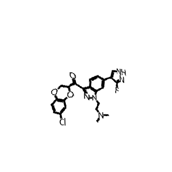 CN(C)CCn1nc(C(=O)C2COc3ccc(Cl)cc3O2)c2ccc(-c3c[nH]nc3F)cc21